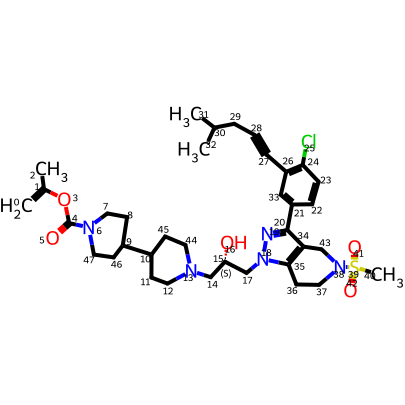 C=C(C)OC(=O)N1CCC(C2CCN(C[C@H](O)Cn3nc(-c4ccc(Cl)c(C#CCC(C)C)c4)c4c3CCN(S(C)(=O)=O)C4)CC2)CC1